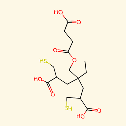 CCC(COC(=O)CCC(=O)O)(CC(CS)C(=O)O)CC(CS)C(=O)O